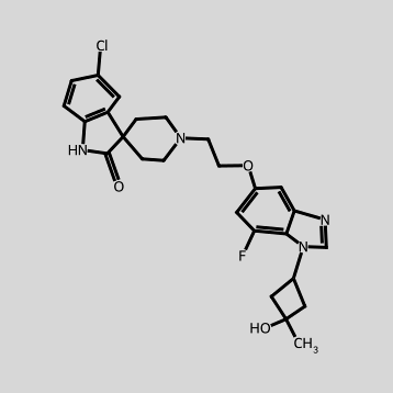 CC1(O)CC(n2cnc3cc(OCCN4CCC5(CC4)C(=O)Nc4ccc(Cl)cc45)cc(F)c32)C1